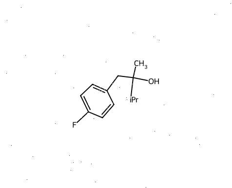 CC(C)C(C)(O)Cc1ccc(F)cc1